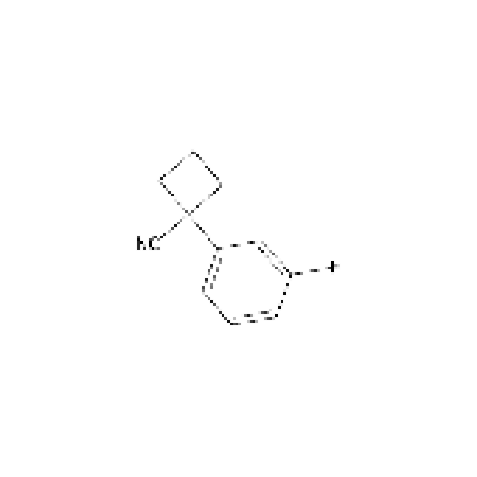 N#CC1(c2cccc(F)c2)CCC1